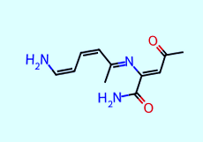 CC(=O)\C=C(/N=C(C)/C=C\C=C/N)C(N)=O